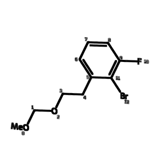 COCOCCc1cccc(F)c1Br